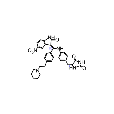 O=C1NC(=O)/C(=C\c2ccc(N/C(=C3\C(=O)Nc4ccc([N+](=O)[O-])cc43)c3ccc(CCN4CCCCC4)cc3)cc2)N1